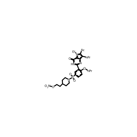 CCCOc1ccc(S(=O)(=O)N2CCC(CCO[N+](=O)[O-])CC2)cc1-c1nc2c(CCC)c(C(C)=O)n(CC)c2c(=O)[nH]1